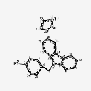 CC(C)c1ccc(Cn2c3ccccc3c3cc(-c4nn[nH]n4)ccc32)cc1